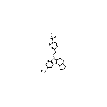 Cc1cnc2c(c1)c1c(n2CCc2ccc(C(F)(F)F)nc2)CCN2CCCC12